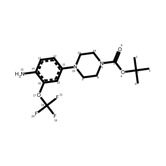 CC(C)(C)OC(=O)N1CCN(c2ccc(N)c(OC(F)(F)F)c2)CC1